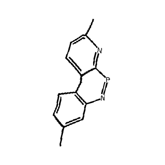 Cc1ccc2c(c1)npc1nc(C)ccc12